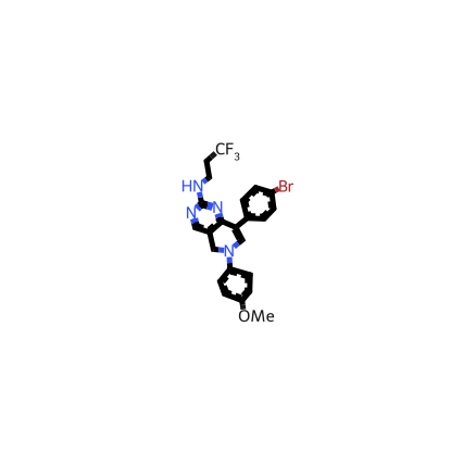 COc1ccc(N2C=C(c3ccc(Br)cc3)c3nc(NCCC(F)(F)F)ncc3C2)cc1